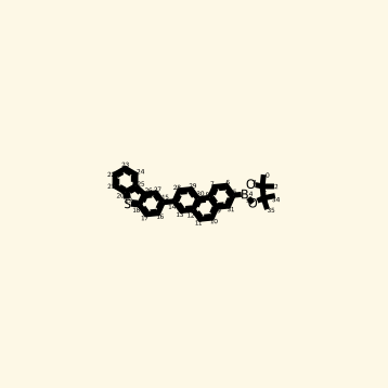 CC1(C)OB(c2ccc3c(ccc4cc(-c5ccc6sc7ccccc7c6c5)ccc43)c2)OC1(C)C